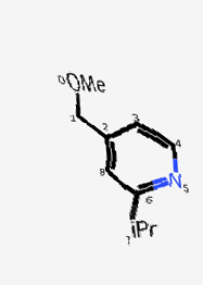 COCc1ccnc(C(C)C)c1